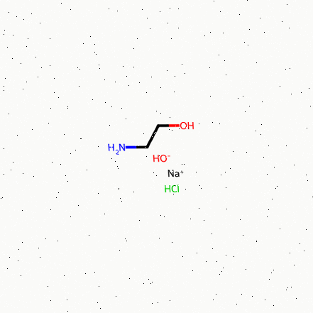 Cl.NCCO.[Na+].[OH-]